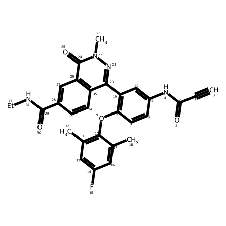 C#CC(=O)Nc1ccc(Oc2c(C)cc(F)cc2C)c(-c2nn(C)c(=O)c3cc(C(=O)NCC)ccc23)c1